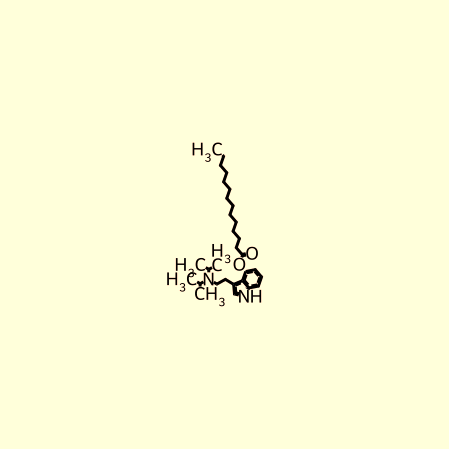 CCCCCCCCCCCCCC(=O)Oc1cccc2[nH]cc(CCN(C(C)C)C(C)C)c12